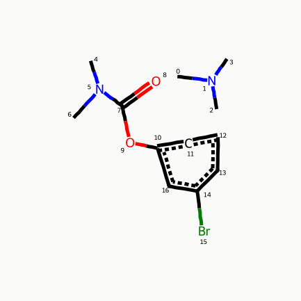 CN(C)C.CN(C)C(=O)Oc1cccc(Br)c1